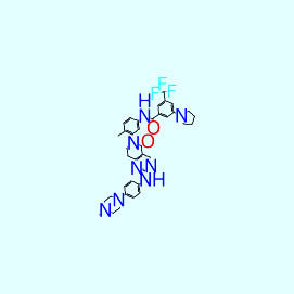 Cc1ccc(NC(=O)c2cc(N3CCCC3)cc(C(F)(F)F)c2)cc1N1CCc2nc(Nc3ccc(N4CCN(C)CC4)cc3)ncc2C1=O